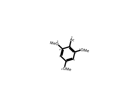 [CH2]C(=O)c1c(OC)cc(OC)cc1OC